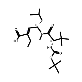 CC/C(=C\[C@H](CC(C)C)N(C)C(=O)[C@@H](NC(=O)OC(C)(C)C)C(C)(C)C)C(=O)O